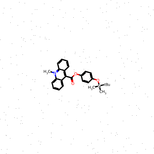 C[n+]1c2ccccc2c(C(=O)Oc2ccc(O[Si](C)(C)C(C)(C)C)cc2)c2ccccc21